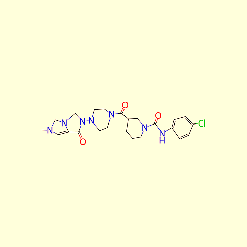 CN1C=C2C(=O)N(N3CCN(C(=O)C4CCCN(C(=O)Nc5ccc(Cl)cc5)C4)CC3)CN2C1